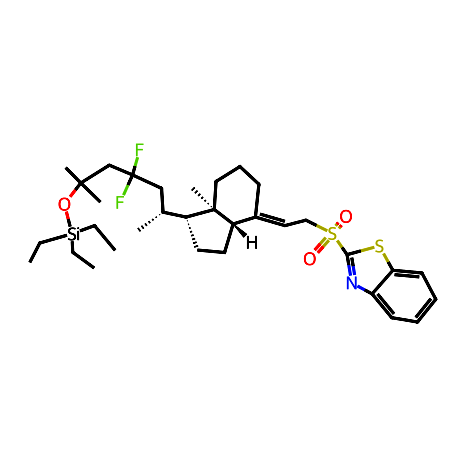 CC[Si](CC)(CC)OC(C)(C)CC(F)(F)C[C@@H](C)[C@H]1CC[C@H]2C(=CCS(=O)(=O)c3nc4ccccc4s3)CCC[C@]12C